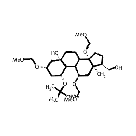 COCO[C@H]1C[C@@H](OC(C)(C)OC)C2C3C(CC[C@]2(O)C1)[C@@]1(OCOC)CC[C@H](CO)[C@@]1(C)C[C@H]3OCOC